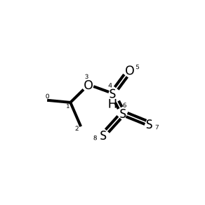 CC(C)O[SH](=O)=S(=S)=S